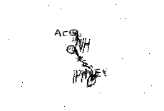 CCC(=O)N(CCSCCC(=O)NCCOC(C)=O)C(C)C